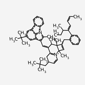 C/C=C\C=C(\c1ccccc1CC1=CC2(C)[N+]3=C(CC(CC(C)(C)C)C=C3)/C(=C/c3c(C)n4c5ccccc5c5cc(C(C)(C)C)cc3c54)C(C)C12C)C(C)CC